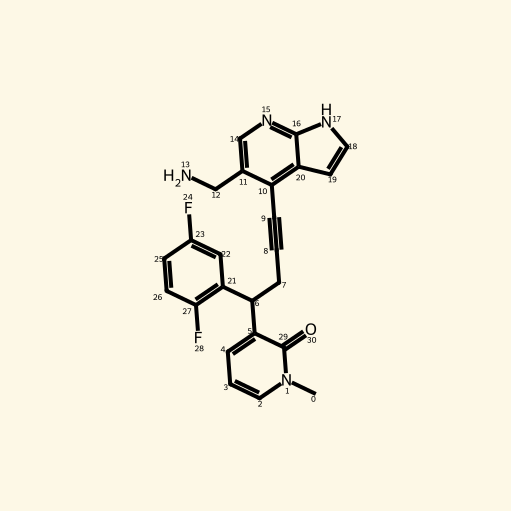 Cn1cccc(C(CC#Cc2c(CN)cnc3[nH]ccc23)c2cc(F)ccc2F)c1=O